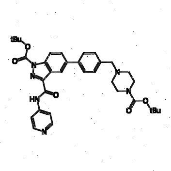 CC(C)(C)OC(=O)N1CCN(Cc2ccc(-c3ccc4c(c3)c(C(=O)Nc3ccncc3)nn4C(=O)OC(C)(C)C)cc2)CC1